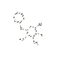 Nc1c(Oc2ccccc2)cc(Cl)c(Cl)c1N